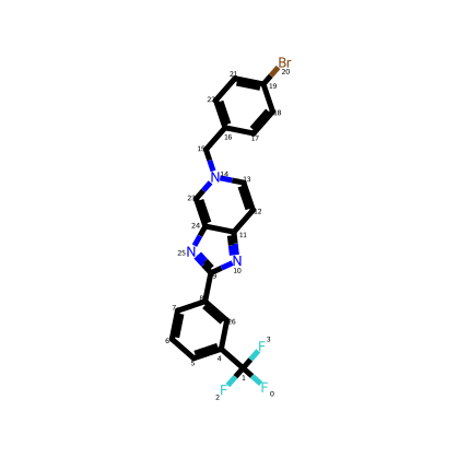 FC(F)(F)c1cccc(-c2nc3ccn(Cc4ccc(Br)cc4)cc-3n2)c1